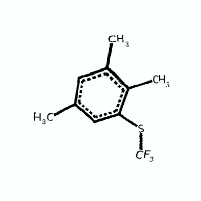 Cc1cc(C)c(C)c(SC(F)(F)F)c1